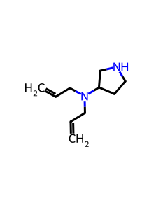 C=CCN(CC=C)C1CCNC1